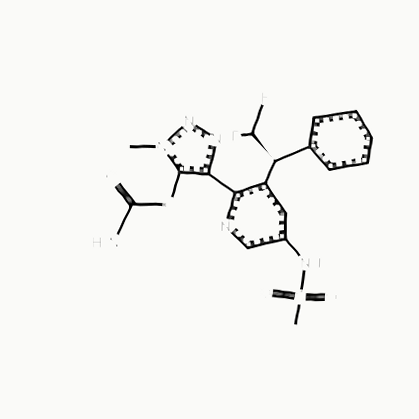 Cn1nnc(-c2ncc(NS(C)(=O)=O)cc2[C@H](c2ccccc2)C(F)F)c1OC(N)=O